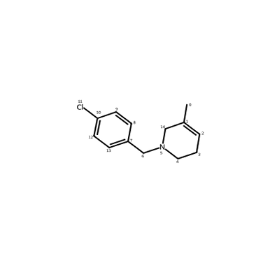 CC1=CCCN(Cc2ccc(Cl)cc2)C1